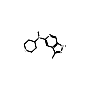 Cc1n[nH]c2cnc(N(C)C3CCOCC3)cc12